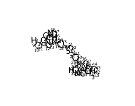 CC(C)(C)n1c(-c2ccccc2)ccc1N(c1ccc(-c2ccc(-c3ccc(N(c4cccnc4)c4ccc(-c5ccccc5)n4C(C)(C)C)cc3)s2)cc1)c1cccnc1